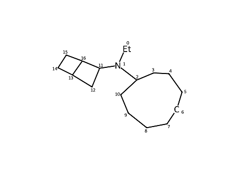 CCN(C1CCCCCCCC1)C1CC2CCC21